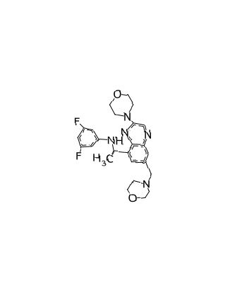 CC(Nc1cc(F)cc(F)c1)c1cc(CN2CCOCC2)cc2ncc(N3CCOCC3)nc12